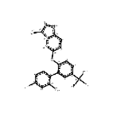 Fc1ccc(-c2cc(C(F)(F)F)ccc2Oc2ccc3nnc(Cl)n3n2)c(F)c1